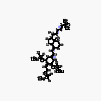 CCC(C)(/C=C/C=C/[C@@H](C)C1CCC2/C(=C/C=C3\CC(O[Si](C)(C)C(C)(C)C)C(=CCO[Si](C)(C)C(C)(C)C)[C@H](O[Si](C)(C)C(C)(C)C)C3)CCCC21C)CC